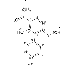 NC(=O)c1cnc(CO)c(-c2ccc(F)cc2)c1O